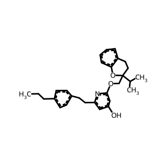 CCCc1ccc(CCc2cc(O)cc(OCC3(C(C)C)CCc4ccccc4O3)n2)cc1